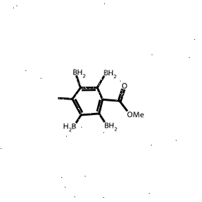 Bc1c(B)c(C(=O)OC)c(B)c(B)c1C